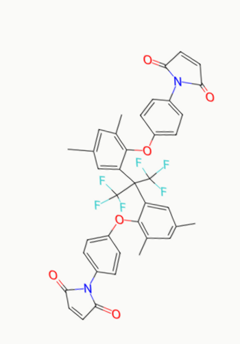 Cc1cc(C)c(Oc2ccc(N3C(=O)C=CC3=O)cc2)c(C(c2cc(C)cc(C)c2Oc2ccc(N3C(=O)C=CC3=O)cc2)(C(F)(F)F)C(F)(F)F)c1